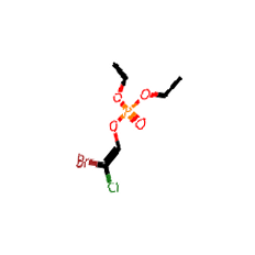 CCOP(=O)(OC=C(Cl)Br)OCC